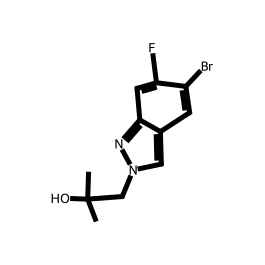 CC(C)(O)Cn1cc2cc(Br)c(F)cc2n1